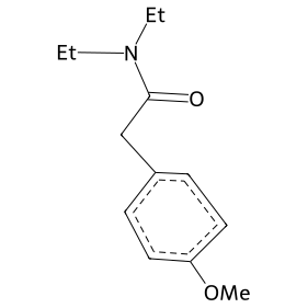 CCN(CC)C(=O)Cc1ccc(OC)cc1